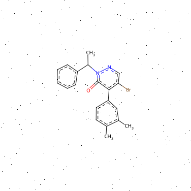 Cc1ccc(-c2c(Br)cnn(C(C)c3ccccc3)c2=O)cc1C